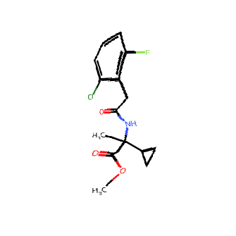 COC(=O)C(C)(NC(=O)Cc1c(F)cccc1Cl)C1CC1